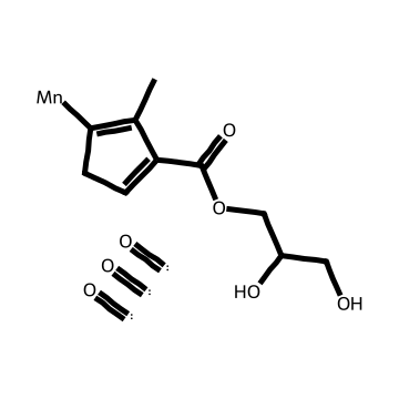 CC1=[C]([Mn])CC=C1C(=O)OCC(O)CO.[C]=O.[C]=O.[C]=O